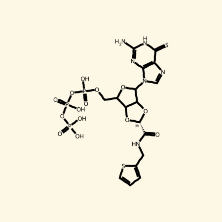 Nc1nc2c(ncn2C2OC(COP(=O)(O)OP(=O)(O)OP(=O)(O)O)C3O[C@@H](C(=O)NCc4cccs4)OC32)c(=S)[nH]1